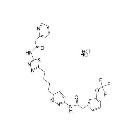 Cl.Cl.O=C(Cc1cccc(OC(F)(F)F)c1)Nc1ccc(CCCCc2nnc(NC(=O)Cc3ccccn3)s2)nn1